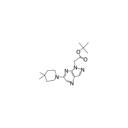 CC1(C)CCN(c2cnc3cnn(CC(=O)OC(C)(C)C)c3n2)CC1